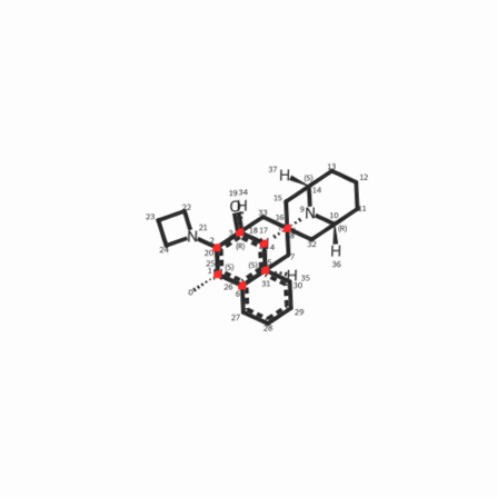 C[C@@H]1C[C@@H]2C[C@H](C1)C[C@@H](N1[C@@H]3CCC[C@H]1C[C@@H](n1c(=O)c(N4CCC4)nc4ccccc41)C3)C2